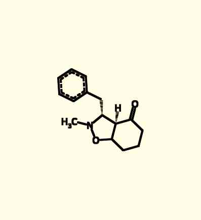 CN1OC2CCCC(=O)[C@@H]2[C@H]1Cc1ccccc1